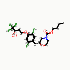 CCCCOC(=O)N1CCO[C@H](Cc2cc(F)c(OCC[C@@H](O)C(F)(F)F)cc2F)C1